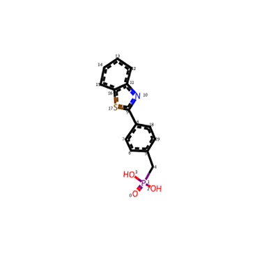 O=P(O)(O)Cc1ccc(-c2nc3ccccc3s2)cc1